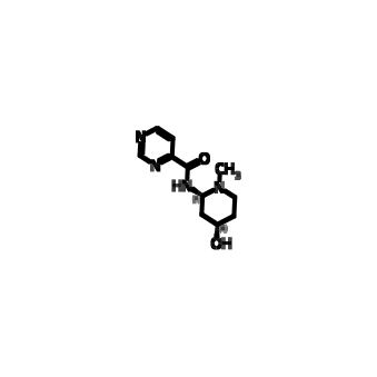 CN1CC[C@@H](O)C[C@H]1NC(=O)c1ccncn1